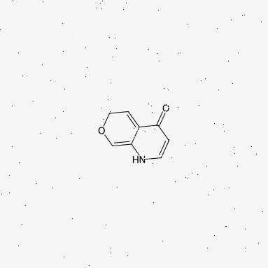 O=c1cc[nH]c2c1=CCOC=2